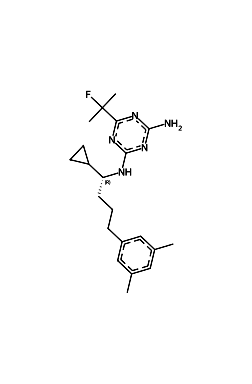 Cc1cc(C)cc(CCC[C@@H](Nc2nc(N)nc(C(C)(C)F)n2)C2CC2)c1